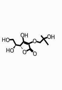 CC(C)(O)COC1=C(O)[C@@H]([C@@H](O)CO)OC1=O